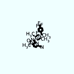 CC[C@H]1CN(C(C)c2ccc(C(F)(F)F)cc2F)[C@H](C)CN1c1nc(=O)n(C)c2ccc(C#N)nc12